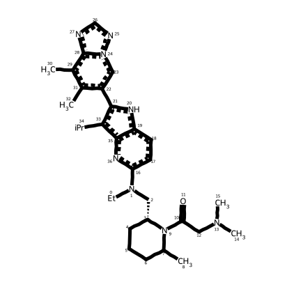 CCN(C[C@H]1CCCC(C)N1C(=O)CN(C)C)c1ccc2[nH]c(-c3cn4ncnc4c(C)c3C)c(C(C)C)c2n1